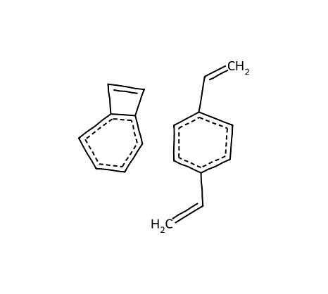 C1=Cc2ccccc21.C=Cc1ccc(C=C)cc1